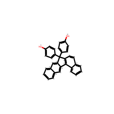 Oc1ccc(C2(c3ccc(O)cc3)c3cc4ccccc4cc3-c3c2ccc2ccccc32)cc1